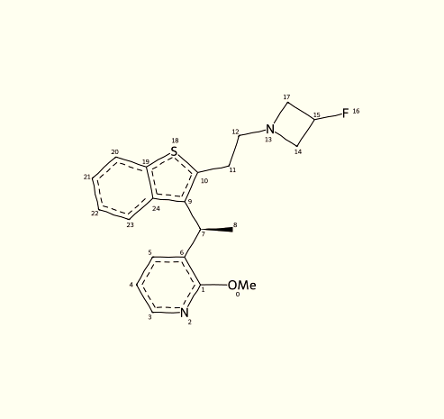 COc1ncccc1[C@H](C)c1c(CCN2CC(F)C2)sc2ccccc12